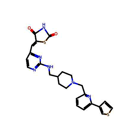 O=C1NC(=O)C(=Cc2ccnc(NCC3CCN(Cc4cccc(-c5ccsc5)n4)CC3)n2)S1